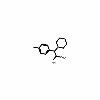 Cc1ccc(C(C(C)C=O)N2CCCCC2)cc1.Cl